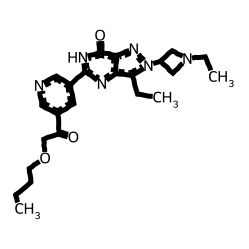 CCCCOCC(=O)c1cncc(-c2nc3c(CC)n(C4CN(CC)C4)nc3c(=O)[nH]2)c1